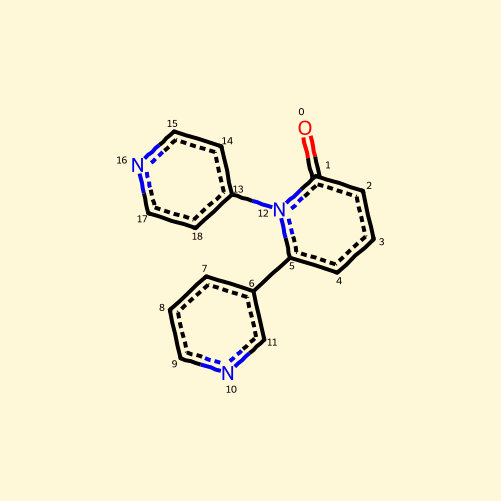 O=c1cccc(-c2cccnc2)n1-c1ccncc1